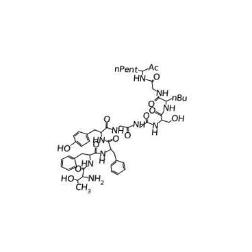 CCCCCC(NC(=O)CNC(=O)C(CCCC)NC(=O)C(CO)NC(=O)CNC(=O)CNC(=O)C(Cc1ccc(O)cc1)NC(=O)C(Cc1ccccc1)NC(=O)C(Cc1ccccc1)NC(=O)C(N)C(C)O)C(C)=O